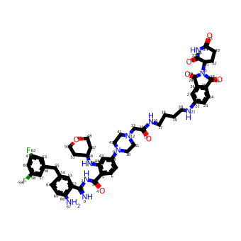 N=C(NC(=O)c1ccc(N2CCN(CC(=O)NCCCCNc3ccc4c(c3)C(=O)N(C3CCC(=O)NC3=O)C4=O)CC2)cc1NC1CCOCC1)c1cc(Cc2cc(F)cc(F)c2)ccc1N